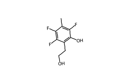 Cc1c(F)c(O)c(CCO)c(F)c1F